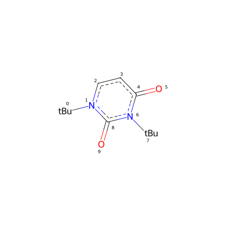 CC(C)(C)n1ccc(=O)n(C(C)(C)C)c1=O